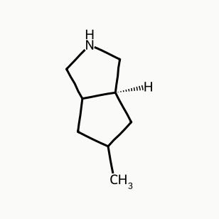 CC1CC2CNC[C@H]2C1